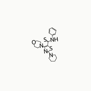 S=C(Nc1ccccc1)c1sc(N2CCCCC2)nc1N1CCOCC1